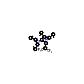 Cc1ccccc1-c1ccc2c(c1)c1cc(-c3ccccc3C)ccc1n2-c1ccc(C#N)c(-c2cc(-c3cc(C(F)(F)F)cc(C(F)(F)F)c3)ccc2-n2c3ccc(-c4ccccc4C)cc3c3cc(-c4ccccc4C)ccc32)c1